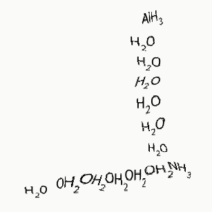 N.O.O.O.O.O.O.O.O.O.O.O.O.[AlH3]